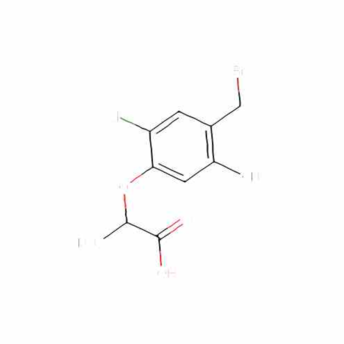 Cc1cc(OC(C)C(=O)O)c(Cl)cc1CBr